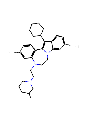 CCCc1ccc2c(c1)N(CCN1CCCC(CC)C1)CCn1c-2c(C2CCCCC2)c2ccc(C(=O)O)cc21